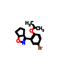 CC(C)Oc1ccc(Br)cc1C1=NOC2CCCC12